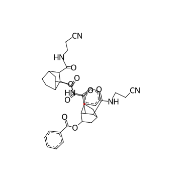 N#CCCNC(=O)C1C2CCC(C(OC(=O)c3ccccc3)C2)C1C(=O)NC(=O)C1C2CCC(CC2OC(=O)c2ccccc2)C1C(=O)NCCC#N